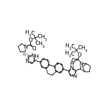 CC(C)(C)OC(=O)N1C2CCC(C2)C1c1ncc(-c2ccc3c(c2)CCc2cc(-c4cnc([C@@H]5CCCN5C(=O)OC(C)(C)C)[nH]4)ccc2-3)[nH]1